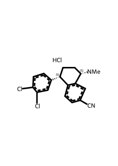 CN[C@H]1CC[C@@H](c2ccc(Cl)c(Cl)c2)c2ccc(C#N)cc21.Cl